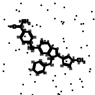 Cn1cc(-c2cc3cnc(Nc4ccc(C(N)=O)cc4)cc3n2Cc2ccccc2)cn1